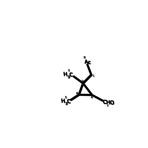 CC(=O)CC1(C)C(C)C1C=O